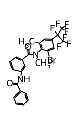 Cc1cc(C(F)(C(F)(F)F)C(F)(F)F)cc(Br)c1N(C)C(=O)c1cccc(NC(=O)c2ccccc2)c1